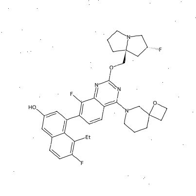 CCc1c(F)ccc2cc(O)cc(-c3ccc4c(N5CCCC6(CCO6)C5)nc(OC[C@@]56CCCN5C[C@H](F)C6)nc4c3F)c12